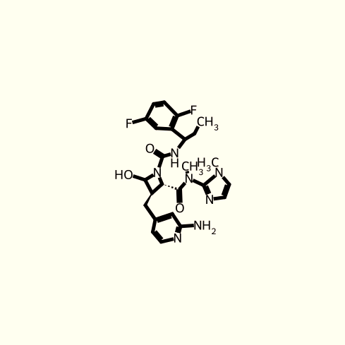 CCC(NC(=O)N1C(O)[C@H](Cc2ccnc(N)c2)[C@H]1C(=O)N(C)c1nccn1C)c1cc(F)ccc1F